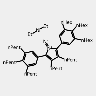 CCCCCCc1cc(C2=C(CCCCC)C(CCCCC)=C(c3cc(CCCCC)c(CCCCC)c(CCCCC)c3)[N+]2=[N-])cc(CCCCCC)c1CCCCCC.C[CH2][Ni][CH2]C